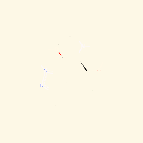 CN1CCOC[C@H]1[C@@H]1OCCn2nc3ccccc3c21.Cl